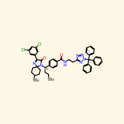 CC(C)(C)CC[C@H](c1ccc(C(=O)NCCc2nnn(C(c3ccccc3)(c3ccccc3)c3ccccc3)n2)cc1)N1C(=O)C(c2cc(Cl)cc(Cl)c2)=NC12CCC(C(C)(C)C)CC2